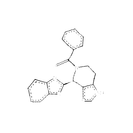 O=C(c1ccccc1)N1CCc2[nH]cnc2[C@H]1c1nc2ccccc2s1